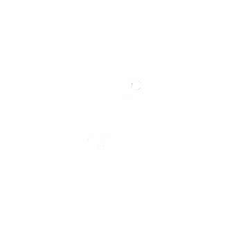 c1ccc(COCCCCCOCCOC2COCCO2)cc1